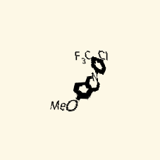 COc1ccc2c(c1)CCN(c1ccc(Cl)c(C(F)(F)F)c1)C2